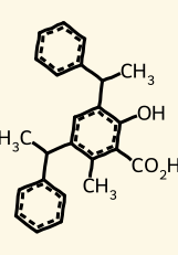 Cc1c(C(C)c2ccccc2)cc(C(C)c2ccccc2)c(O)c1C(=O)O